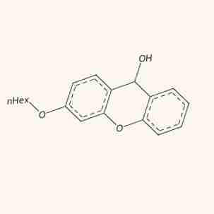 CCCCCCOc1ccc2c(c1)Oc1ccccc1C2O